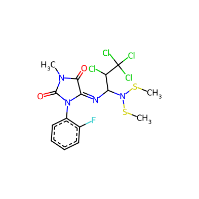 CSN(SC)C(N=C1C(=O)N(C)C(=O)N1c1ccccc1F)C(Cl)C(Cl)(Cl)Cl